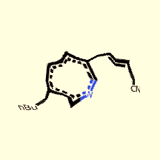 CCCCc1ccc(/C=C\C#N)nc1